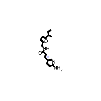 C=CC(C)c1ccc(CNC(=O)/C=C/c2ccc(N)nc2)o1